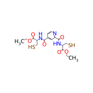 CCOC(=O)C(CS)NC(=O)c1ccnc(C(=O)NC(CS)C(=O)OCC)c1